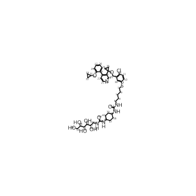 O=C(NCCCCCSc1ccc(Cl)c(COC2(c3cnccc3-c3ccccc3OC3CC3)CC2)c1)NC1CCC(NC(=O)NC[C@H](O)[C@@H](O)[C@H](O)[C@H](O)CO)CC1